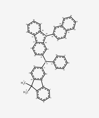 CC1(C)c2ccccc2-c2cc(N(c3ccccc3)c3ccc4c5ccccc5n(-c5ccc6ccccc6c5)c4c3)ccc21